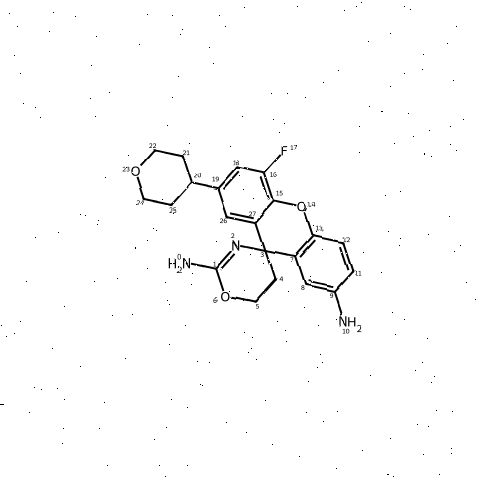 NC1=NC2(CCO1)c1cc(N)ccc1Oc1c(F)cc(C3CCOCC3)cc12